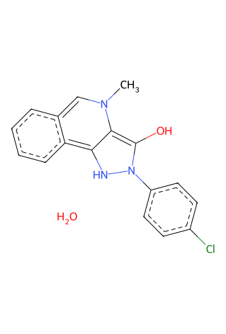 CN1C=c2ccccc2=C2NN(c3ccc(Cl)cc3)C(O)=C21.O